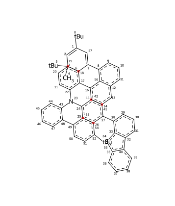 CC(C)(C)C1=CC(C)(C(C)(C)C)CC(c2cccc3cccc(-c4ccccc4N(c4ccc(-c5cccc6c5sc5ccccc56)cc4)c4ccccc4-c4ccc(C(C)(C)C)cc4)c23)=C1